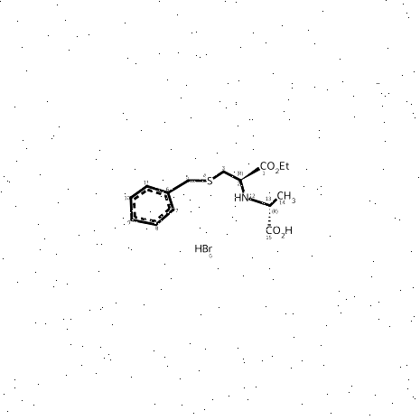 Br.CCOC(=O)[C@H](CSCc1ccccc1)N[C@H](C)C(=O)O